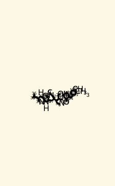 Cn1cc(-c2ccnc(N3CCn4c(cc5c4CC(C)(C)C5)C3=O)c2CO)cc(Nc2ccc(C3CC3)cn2)c1=O